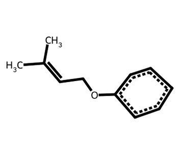 CC(C)=CCOc1ccccc1